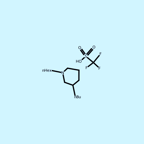 CCCCCCN1CCCC(CCCC)C1.O=S(=O)(O)C(F)(F)F